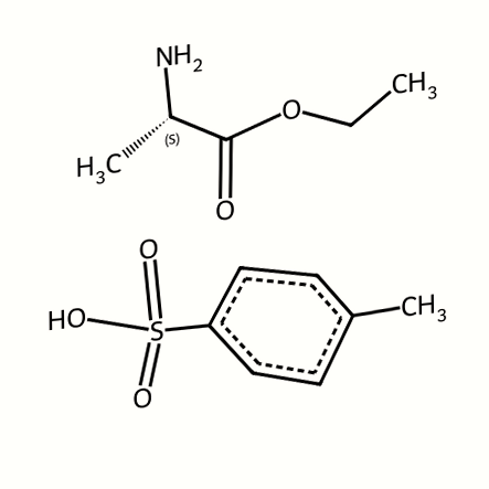 CCOC(=O)[C@H](C)N.Cc1ccc(S(=O)(=O)O)cc1